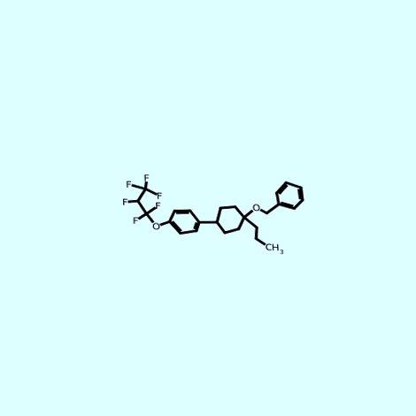 CCCC1(OCc2ccccc2)CCC(c2ccc(OC(F)(F)C(F)C(F)(F)F)cc2)CC1